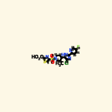 C[C@H]1CN(S(=O)(=O)c2csc(C(=O)O)n2)CC[C@H]1c1[nH]c(-c2ccc(F)cn2)nc1Cl